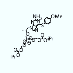 COc1ccc(Sc2nc(N)nc3c2ncn3C[C@@H](C)OCP(=O)(OOCOC(=O)OC(C)C)OOCOC(=O)OC(C)C)cc1